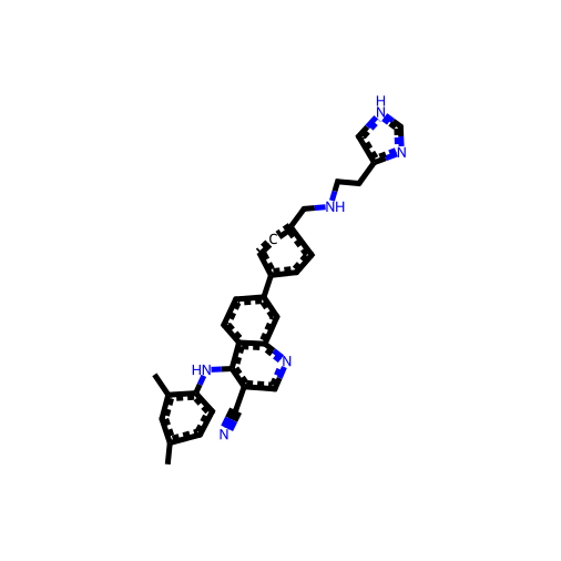 Cc1ccc(Nc2c(C#N)cnc3cc(-c4ccc(CNCCc5c[nH]cn5)cc4)ccc23)c(C)c1